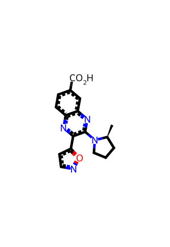 C[C@H]1CCCN1c1nc2cc(C(=O)O)ccc2nc1-c1ccno1